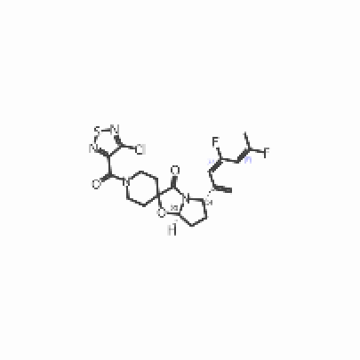 C=C(/C=C(F)\C=C(/C)F)[C@@H]1CC[C@H]2OC3(CCN(C(=O)c4nsnc4Cl)CC3)C(=O)N21